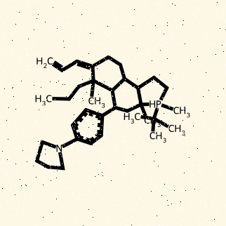 C=C/C=C1/CCC2C(C(c3ccc(N4CCCC4)cc3)CC3(C)C2CC[PH]3(C)C(C)(C)C)C1(C)CCC